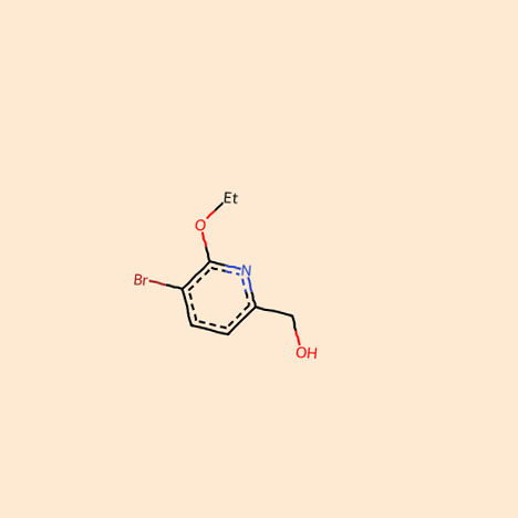 CCOc1nc(CO)ccc1Br